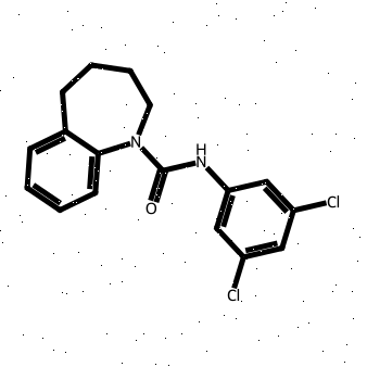 O=C(Nc1cc(Cl)cc(Cl)c1)N1CCCCc2ccccc21